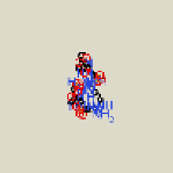 COS(=O)(=O)c1cccc(C(=O)c2c3c4c(c(Nc5cc(Nc6nc(N)nc(NC7CCC(CC8CCC(Nc9nc(N)nc(Nc%10cc(Nc%11ccc%12c%13c%11C(=O)c%11ccccc%11-c%13c(C(=O)c%11cccc(C)c%11)c(=O)n%12C)c(C)cc%10S(=O)(=O)OC)n9)CC8)CC7)n6)c(C)cc5S(=O)(=O)OC)ccc4n(C)c2=O)C(=O)c2ccccc2-3)c1